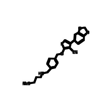 CSCCCNCc1ccc(COc2scc(-c3ccc4c(c3)OCO4)c2C#N)cc1